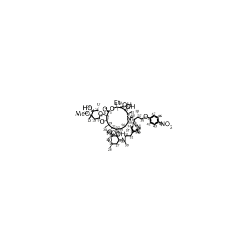 CC[C@H]1OC(=O)[C@H](C)[C@@H](O[C@H]2C[C@@](C)(OC)[C@@H](O)[C@H](C)O2)[C@H](C)[C@@H](O[C@@H]2O[C@H](C)C[C@H](N(C)CCc3cn(C[C@H](C)COc4ccc([N+](=O)[O-])cc4)nn3)[C@H]2O)[C@](C)(O)C[C@@H](C)CN(C)[C@H](C)[C@@H](O)[C@]1(C)O